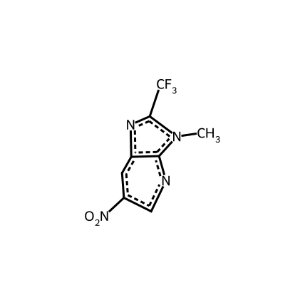 Cn1c(C(F)(F)F)nc2cc([N+](=O)[O-])cnc21